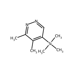 Cc1nncc([Si](C)(C)C)c1C